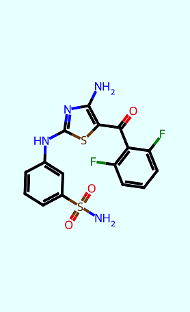 Nc1nc(Nc2cccc(S(N)(=O)=O)c2)sc1C(=O)c1c(F)cccc1F